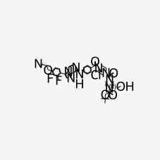 CC(C)(C)OC(=O)N1CCN(C(=O)N2CCN(C(=O)c3ccc(Nc4nccn5c(-c6ccc(OCC#N)c(F)c6F)cnc45)cc3Cl)CC2)C[C@@H]1CO